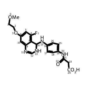 COCCOc1cc(F)c2c(c1)N=CNC2Nc1ccc(NC(=O)CC(=O)O)cc1